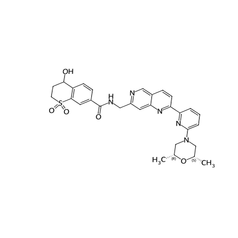 C[C@@H]1CN(c2cccc(-c3ccc4cnc(CNC(=O)c5ccc6c(c5)S(=O)(=O)CCC6O)cc4n3)n2)C[C@H](C)O1